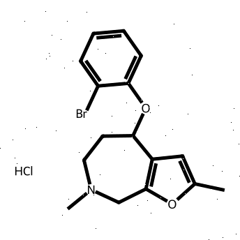 Cc1cc2c(o1)CN(C)CCC2Oc1ccccc1Br.Cl